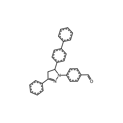 O=Cc1ccc(N2N=C(c3ccccc3)CC2c2ccc(-c3ccccc3)cc2)cc1